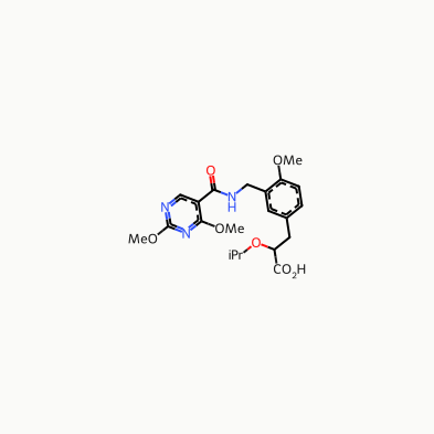 COc1ncc(C(=O)NCc2cc(CC(OC(C)C)C(=O)O)ccc2OC)c(OC)n1